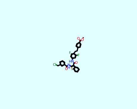 COC(=O)c1ccc(CCc2c(F)cc(NC(=O)c3c(NC(=O)c4cccc(CCl)c4)sc4ccccc34)cc2F)cc1